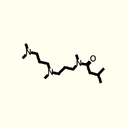 CC(C)CC(=O)N(C)CCCN(C)CCCN(C)C